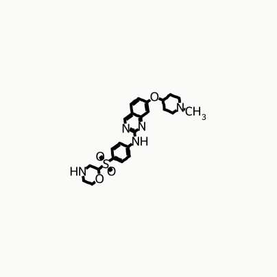 CN1CCC(Oc2ccc3cnc(Nc4ccc(S(=O)(=O)C5CNCCO5)cc4)nc3c2)CC1